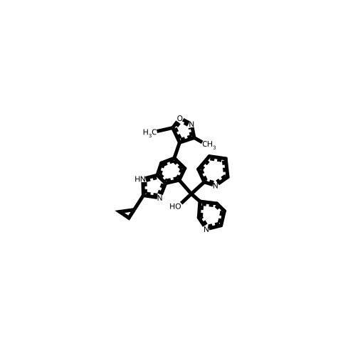 Cc1noc(C)c1-c1cc(C(O)(c2cccnc2)c2ccccn2)c2nc(C3CC3)[nH]c2c1